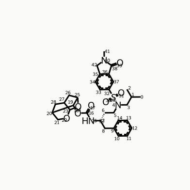 CC(C)CN(CC[C@H](Cc1ccccc1)NC(=O)OC1C2COC3OC1CC3C2)S(=O)(=O)c1ccc2c(c1)C(=O)N(C)C2